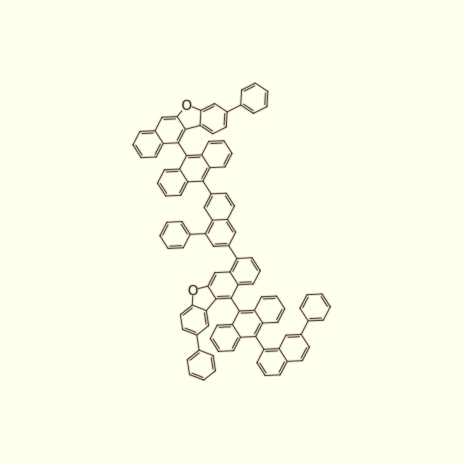 c1ccc(-c2ccc3c(c2)oc2cc4ccccc4c(-c4c5ccccc5c(-c5ccc6cc(-c7cccc8c(-c9c%10ccccc%10c(-c%10cccc%11ccc(-c%12ccccc%12)cc%10%11)c%10ccccc9%10)c9c(cc78)oc7ccc(-c8ccccc8)cc79)cc(-c7ccccc7)c6c5)c5ccccc45)c23)cc1